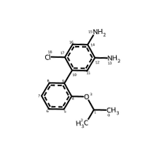 CC(C)Oc1ccccc1-c1cc(N)c(N)cc1Cl